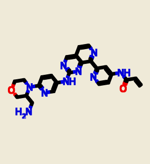 C=CC(=O)Nc1ccnc(-c2nccc3cnc(Nc4ccc(N5CCOCC5CN)nc4)nc23)c1